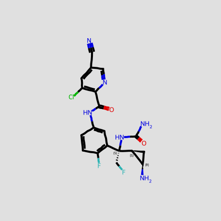 N#Cc1cnc(C(=O)Nc2ccc(F)c([C@@](CF)(NC(N)=O)[C@H]3C[C@H]3N)c2)c(Cl)c1